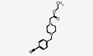 CCOC(=O)CN1CCN(Cc2ccc(C#N)cc2)CC1